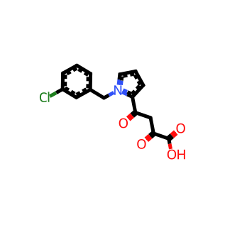 O=C(O)C(=O)CC(=O)c1cccn1Cc1cccc(Cl)c1